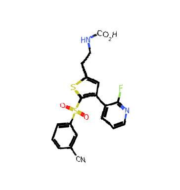 N#Cc1cccc(S(=O)(=O)c2sc(CCNC(=O)O)cc2-c2cccnc2F)c1